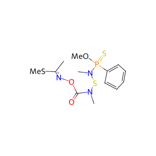 COP(=S)(c1ccccc1)N(C)SN(C)C(=O)ON=C(C)SC